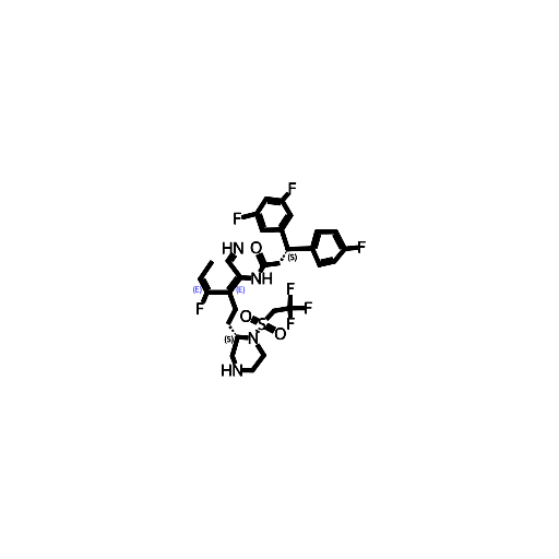 C/C=C(F)\C(CC[C@H]1CNCCN1S(=O)(=O)CC(F)(F)F)=C(/C=N)NC(=O)C[C@@H](c1ccc(F)cc1)c1cc(F)cc(F)c1